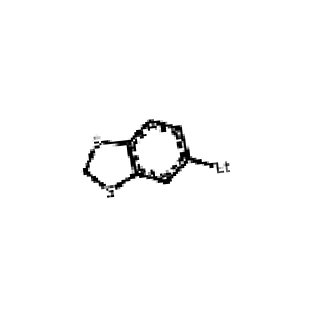 CCc1ccc2c(c1)SCS2